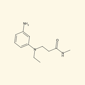 CCN(CCC(=O)NC)c1cccc(N)c1